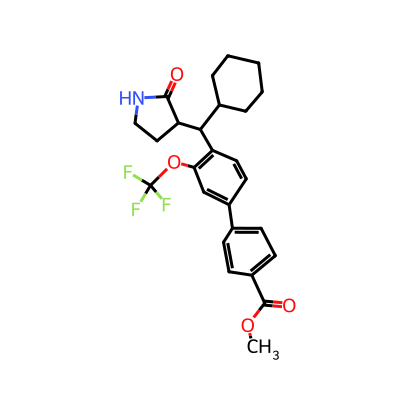 COC(=O)c1ccc(-c2ccc(C(C3CCCCC3)C3CCNC3=O)c(OC(F)(F)F)c2)cc1